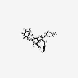 CC#CCn1c(N2CCNCC2)nc2nc(Oc3c(F)c(F)c(F)c(F)c3F)n(C)c(=O)c21